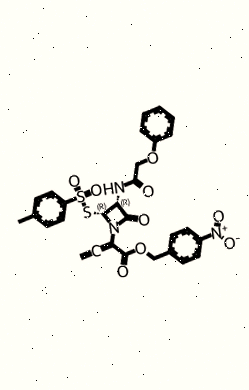 C=C=C(C(=O)OCc1ccc([N+](=O)[O-])cc1)N1C(=O)[C@@H](NC(=O)COc2ccccc2)[C@H]1SS(=O)(=O)c1ccc(C)cc1